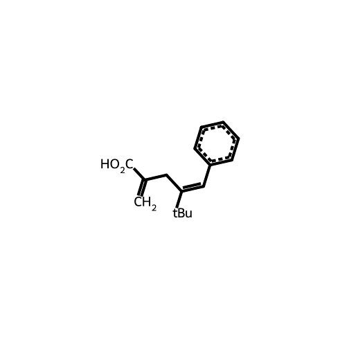 C=C(CC(=Cc1ccccc1)C(C)(C)C)C(=O)O